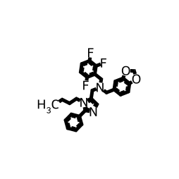 CCCCn1c(CN(Cc2ccc3c(c2)OCO3)Cc2c(F)ccc(F)c2F)cnc1-c1ccccc1